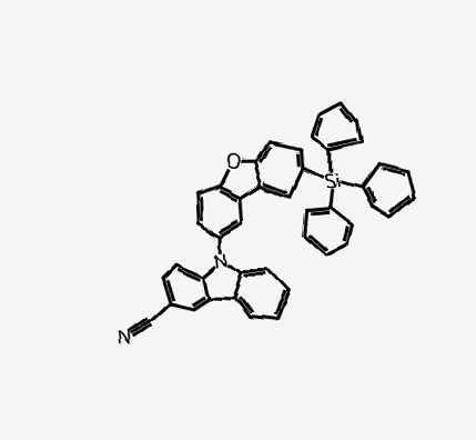 N#Cc1ccc2c(c1)c1ccccc1n2-c1ccc2oc3ccc([Si](c4ccccc4)(c4ccccc4)c4ccccc4)cc3c2c1